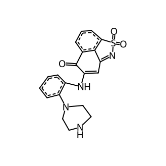 O=C1C(Nc2ccccc2N2CCNCC2)=CC2=NS(=O)(=O)c3cccc1c32